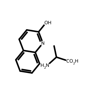 CC(N)C(=O)O.Oc1ccc2ccccc2n1